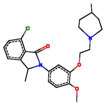 COc1ccc(N2C(=O)c3c(Cl)cccc3C2C)cc1OCCN1CCC(C)CC1